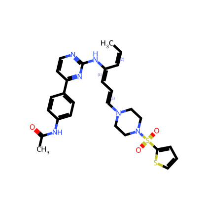 C\C=C/C(=C\C=C\N1CCN(S(=O)(=O)c2cccs2)CC1)Nc1nccc(-c2ccc(NC(C)=O)cc2)n1